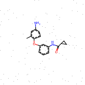 Cc1cc(N)ccc1Oc1cccc(NC(=O)C2CC2)c1